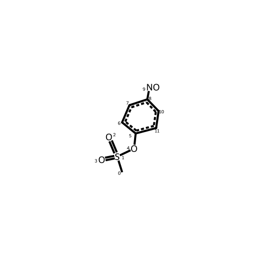 CS(=O)(=O)Oc1ccc(N=O)cc1